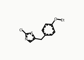 CCOc1ccc(Cc2cnc(Cl)s2)cc1